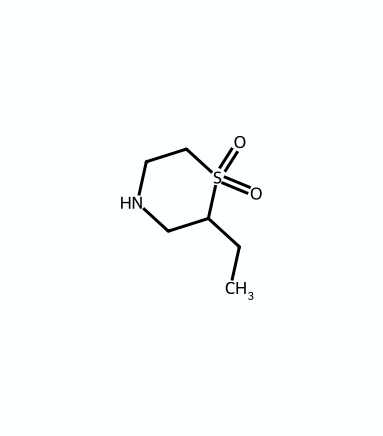 CCC1CNCCS1(=O)=O